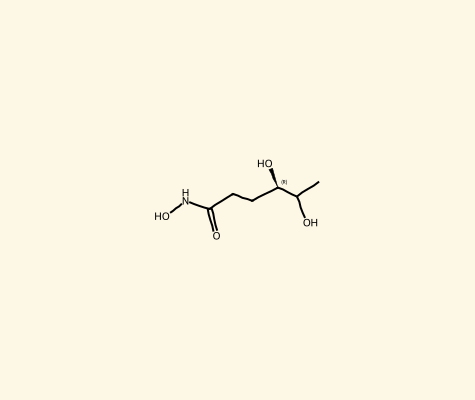 CC(O)[C@H](O)CCC(=O)NO